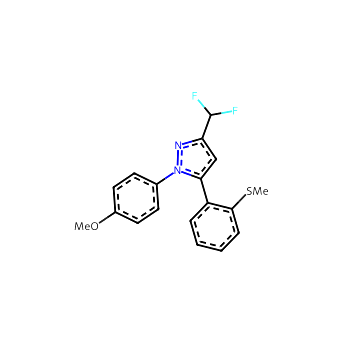 COc1ccc(-n2nc(C(F)F)cc2-c2ccccc2SC)cc1